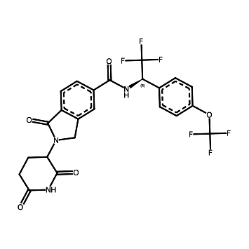 O=C1CCC(N2Cc3cc(C(=O)N[C@H](c4ccc(OC(F)(F)F)cc4)C(F)(F)F)ccc3C2=O)C(=O)N1